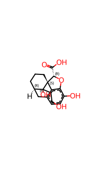 O=C(O)[C@@H]1Oc2c(O)ccc3c2[C@@]12CCC[C@H](C3)[C@]2(O)CCO